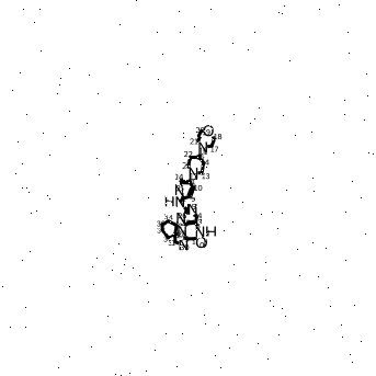 O=C1Nc2cnc(Nc3ccc(N4CCC(N5CCOCC5)CC4)cn3)nc2N2C1=NCC21CCCCC1